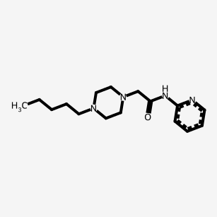 CCCCCN1CCN(CC(=O)Nc2ccccn2)CC1